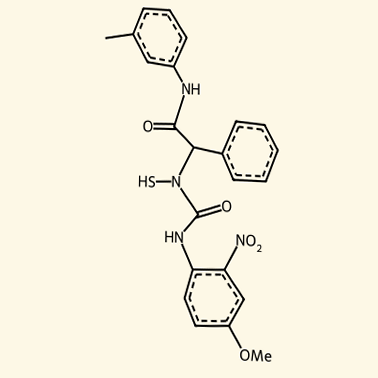 COc1ccc(NC(=O)N(S)C(C(=O)Nc2cccc(C)c2)c2ccccc2)c([N+](=O)[O-])c1